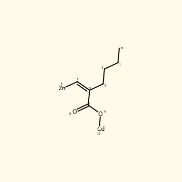 CCCCC(=[CH][Zn])C(=O)[O][Cd]